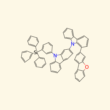 c1ccc([Si](c2ccccc2)(c2ccccc2)c2cccc(-n3c4ccccc4c4ccc(-n5c6ccccc6c6cccc(-c7ccc8c(c7)oc7ccccc78)c65)cc43)c2)cc1